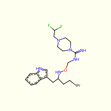 CC(C)CCC(Cc1c[nH]c2ccccc12)NOCNC(=N)N1CCN(CC(F)F)CC1